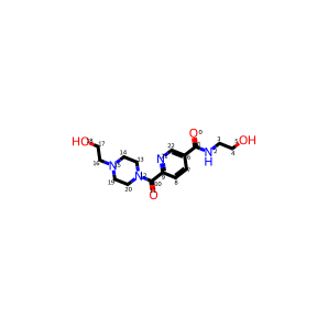 O=C(NCCO)c1ccc(C(=O)N2CCN(CCO)CC2)nc1